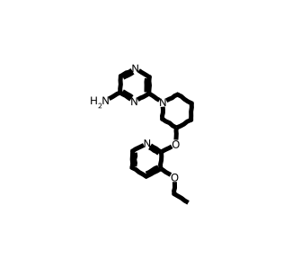 CCOc1cccnc1OC1CCCN(c2cncc(N)n2)C1